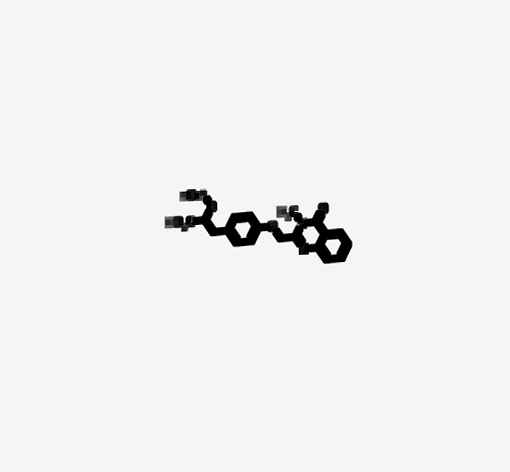 CCCCCCCCOC(Cc1ccc(OCc2nc3ccccc3c(=O)n2C)cc1)C(=O)O